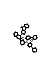 CC1(C)c2ccccc2-c2ccc(-c3c4ccccc4cc4c3oc3c(N(c5ccc(-c6ccccc6)cc5)c5cccc6c5oc5ccccc56)cccc34)cc21